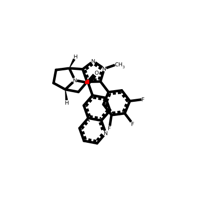 Cn1nc2c(c1-c1cc(F)c(F)c(F)c1)C[C@@H]1CC[C@H]2N1C(=O)c1ccc2ncccc2c1